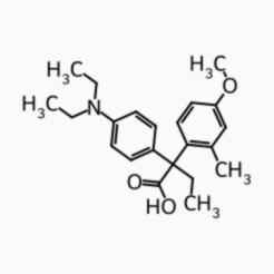 CCN(CC)c1ccc(C(CC)(C(=O)O)c2ccc(OC)cc2C)cc1